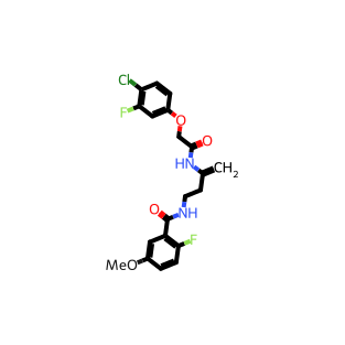 C=C(CCNC(=O)c1cc(OC)ccc1F)NC(=O)COc1ccc(Cl)c(F)c1